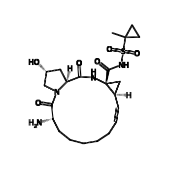 CC1(S(=O)(=O)NC(=O)[C@@]23C[C@H]2/C=C\CCCCC[C@H](N)C(=O)N2C[C@H](O)C[C@H]2C(=O)N3)CC1